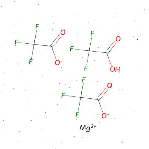 O=C(O)C(F)(F)F.O=C([O-])C(F)(F)F.O=C([O-])C(F)(F)F.[Mg+2]